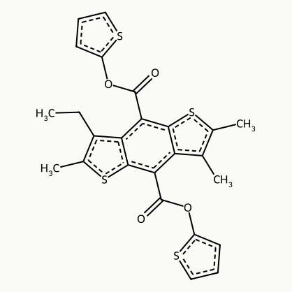 CCc1c(C)sc2c(C(=O)Oc3cccs3)c3c(C)c(C)sc3c(C(=O)Oc3cccs3)c12